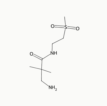 CC(C)(CN)C(=O)NCCS(C)(=O)=O